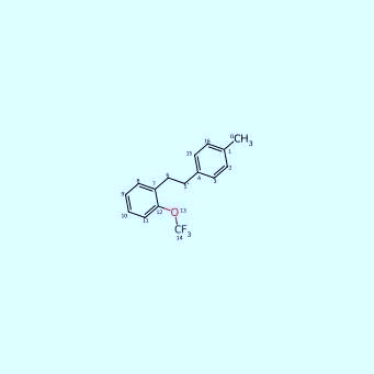 Cc1ccc([CH]Cc2ccccc2OC(F)(F)F)cc1